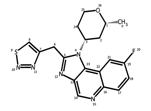 C[C@@H]1C[C@H](n2c(Cc3csnn3)nc3cnc4ccc(F)cc4c32)CCO1